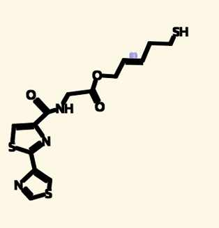 O=C(CNC(=O)c1csc(-c2cscn2)n1)OC/C=C/CCS